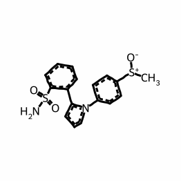 C[S+]([O-])c1ccc(-n2cccc2-c2ccccc2S(N)(=O)=O)cc1